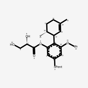 CCCCCc1cc(OC(=O)[C@@H](O)CO)c(C2C=C(C)CC[C@H]2C)c(OC(C)C)c1